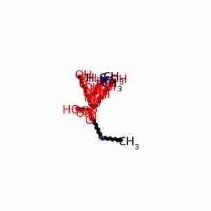 CCCCCCCC/C=C\CCCCCCCC(=O)OCC(COCC(O)CO)OC(COCC(O)COCC(O)COCC(O)CO)COCC(COCC(O)COCC(O)CO)OCC(O)COCC(O)C[N+](C)(C)CC